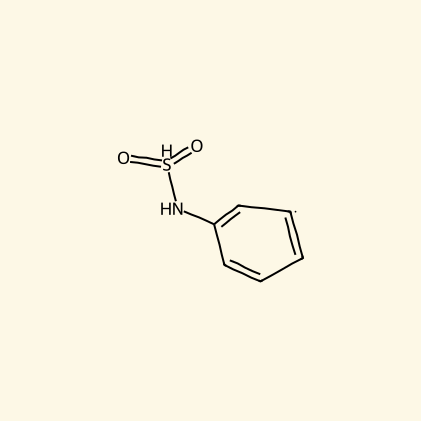 O=[SH](=O)Nc1c[c]ccc1